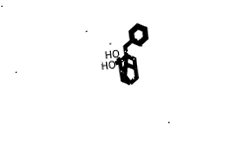 OC1(O)C2CC3CC(C2)CC1(Cc1ccccc1)C3